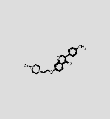 CC(=O)N1CCN(CCOc2ccc3c(=O)c(-c4ccc(C)cc4)coc3c2)CC1